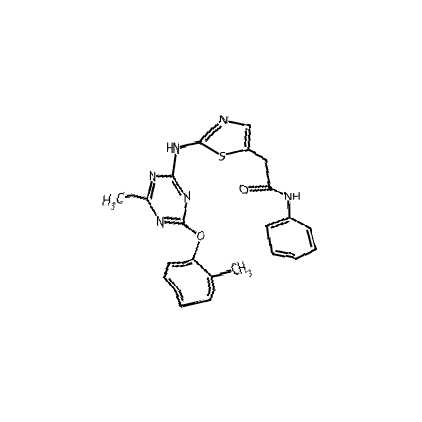 Cc1nc(Nc2ncc(CC(=O)Nc3ccccc3)s2)nc(Oc2ccccc2C)n1